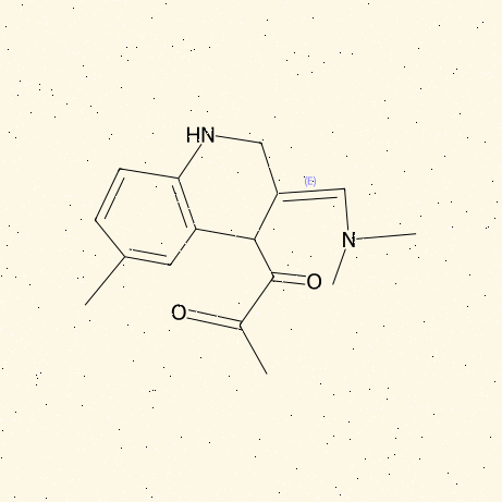 CC(=O)C(=O)C1/C(=C\N(C)C)CNc2ccc(C)cc21